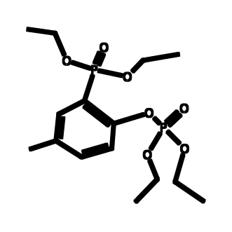 CCOP(=O)(OCC)Oc1ccc(C)cc1P(=O)(OCC)OCC